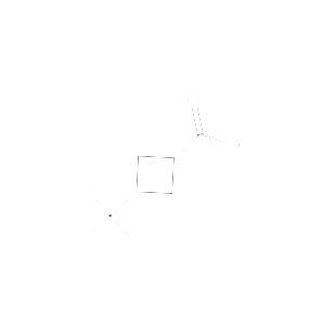 CC(C)(C)C1CC(C(=O)O)C1